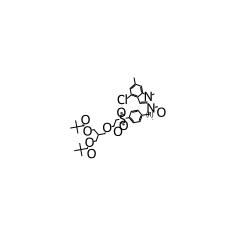 Cc1cc(Cl)c2cc(N(C=O)[C@H](C)c3ccc(S(=O)(=O)CC(=O)OCC(COC(=O)C(C)(C)C)COC(=O)C(C)(C)C)cc3)n(C)c2c1